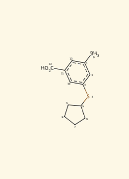 Bc1cc(SC2CCCC2)cc(C(=O)O)c1